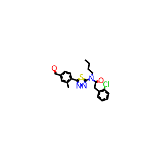 CCCCN(C(=O)Cc1ccccc1Cl)c1nnc(-c2ccc(C=O)cc2C)s1